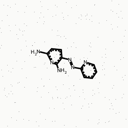 Nc1ccc(/N=N/c2ccccn2)c(N)n1